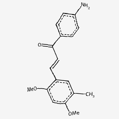 COc1cc(OC)c(/C=C/C(=O)c2ccc(N)cc2)cc1C